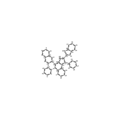 c1ccc(-c2cc3ccccc3cc2-c2cc3ccccc3c3c(-c4ccccc4)c(-c4cc5ccccc5s4)nn23)cc1